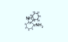 NC1CCCCC(N)C1c1ccccc1